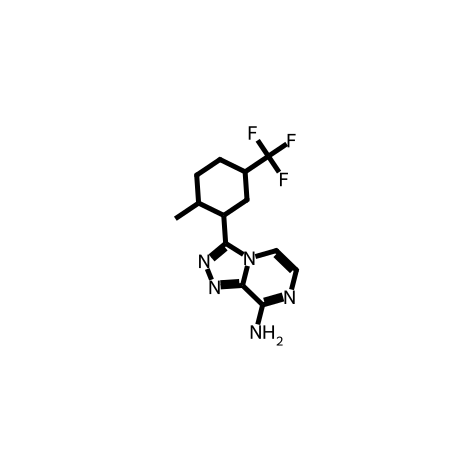 CC1CCC(C(F)(F)F)CC1c1nnc2c(N)nccn12